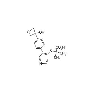 CC(C)(Sc1ccncc1-c1ccc(C2(O)COC2)cc1)C(=O)O